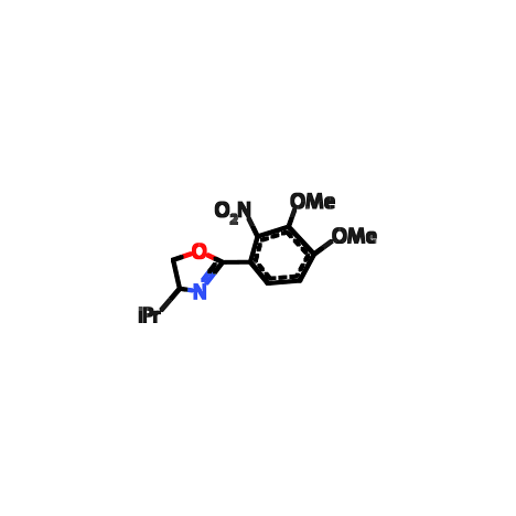 COc1ccc(C2=NC(C(C)C)CO2)c([N+](=O)[O-])c1OC